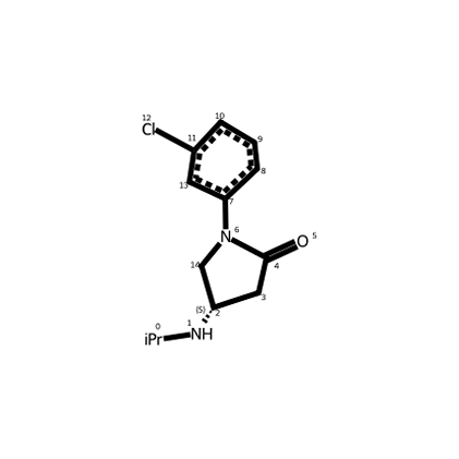 CC(C)N[C@H]1CC(=O)N(c2cccc(Cl)c2)C1